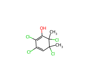 CC1(Cl)C=C(Cl)C(Cl)=C(O)C1(C)Cl